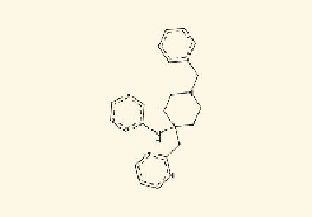 c1ccc(CN2CCC(Cc3ccccn3)(Nc3ccccc3)CC2)cc1